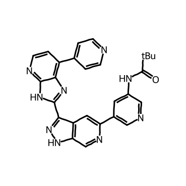 CC(C)(C)C(=O)Nc1cncc(-c2cc3c(-c4nc5c(-c6ccncc6)ccnc5[nH]4)n[nH]c3cn2)c1